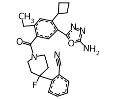 CCc1cc(C2CCC2)c(-c2nnc(N)o2)cc1C(=O)N1CCC(F)(c2ccccc2C#N)CC1